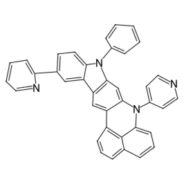 c1ccc(-n2c3ccc(-c4ccccn4)cc3c3cc4c(cc32)N(c2ccncc2)c2cccc3cccc-4c23)cc1